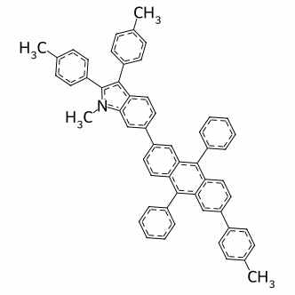 Cc1ccc(-c2ccc3c(-c4ccccc4)c4cc(-c5ccc6c(-c7ccc(C)cc7)c(-c7ccc(C)cc7)n(C)c6c5)ccc4c(-c4ccccc4)c3c2)cc1